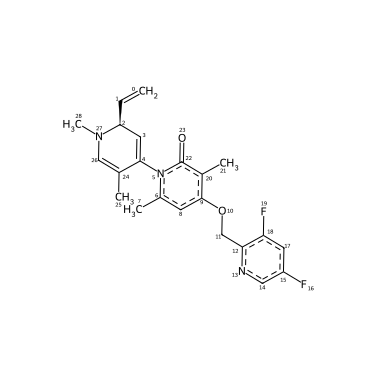 C=C[C@H]1C=C(n2c(C)cc(OCc3ncc(F)cc3F)c(C)c2=O)C(C)=CN1C